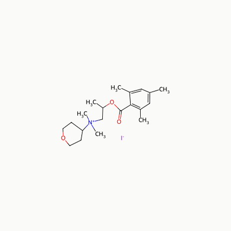 Cc1cc(C)c(C(=O)OC(C)C[N+](C)(C)C2CCOCC2)c(C)c1.[I-]